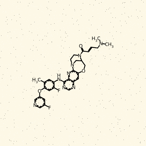 Cc1cc(Nc2ncnc3cc4c(nc23)N2CCN(C(=O)/C=C/CN(C)C)C(CO4)C2)c(F)cc1Oc1cncc(F)c1